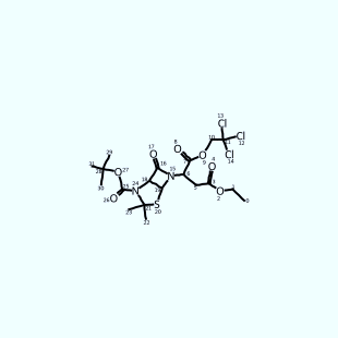 CCOC(=O)CC(C(=O)OCC(Cl)(Cl)Cl)N1C(=O)C2C1SC(C)(C)N2C(=O)OC(C)(C)C